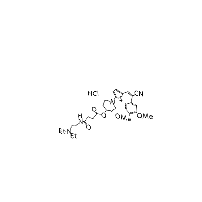 CCN(CC)CCNC(=O)CCC(=O)OC1CCN(c2ccc(C=C(C#N)c3ccc(OC)c(OC)c3)s2)CC1.Cl